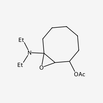 CCN(CC)C12CCCCCC(OC(C)=O)C1O2